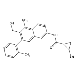 Cc1ccncc1-c1cc2cc(NC(=O)C3CC3C#N)ncc2c(N)c1CO